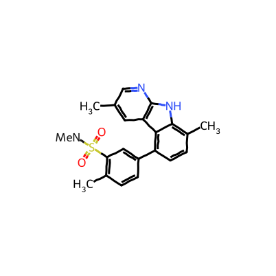 CNS(=O)(=O)c1cc(-c2ccc(C)c3[nH]c4ncc(C)cc4c23)ccc1C